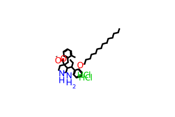 CCCCCCCCCCCCCCOc1ccccc1C(CC)C1C(N)NCCC1(Cc1ccccc1C)C(=O)OC.Cl.Cl